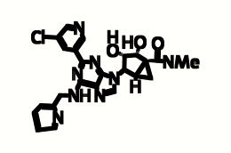 CNC(=O)[C@@]12C[C@@H]1C(n1cnc3c(NCc4ccccn4)nc(-c4cncc(Cl)c4)nc31)[C@H](O)[C@@H]2O